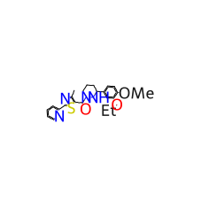 CCOc1cc(C2CCCN(C(=O)c3sc(-c4ccccn4)nc3C)N2)ccc1OC